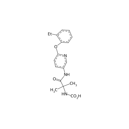 CCc1ccccc1Oc1ccc(NC(=O)C(C)(C)NC(=O)O)cn1